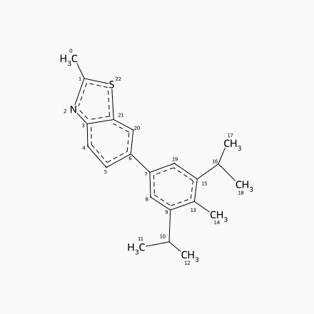 Cc1nc2ccc(-c3cc(C(C)C)c(C)c(C(C)C)c3)cc2s1